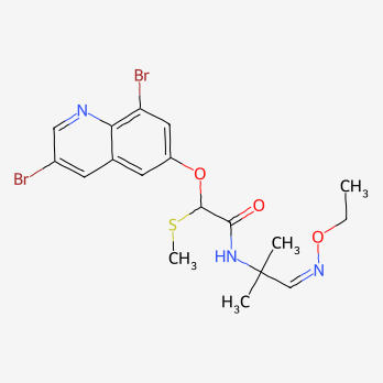 CCO/N=C\C(C)(C)NC(=O)C(Oc1cc(Br)c2ncc(Br)cc2c1)SC